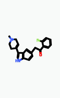 CN1CC=C(c2c[nH]c3ccc(CC(=O)c4ccccc4F)cc23)CC1